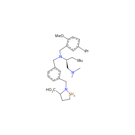 COc1ccc(C(C)C)cc1CN(Cc1cccc(CN2[SH4]CCC2C(=O)O)c1)[C@H](CN(C)C)CC(C)(C)C